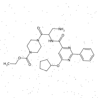 CCOC(=O)N1CCN(C(=O)C(CN)NC(=O)c2cc(OC3CCCC3)nc(-c3ccccc3)n2)CC1